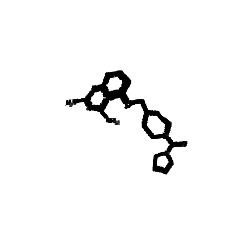 Nc1nc(N)c2c(OCC3CCN(C(=O)N4CCCC4)CC3)cccc2n1